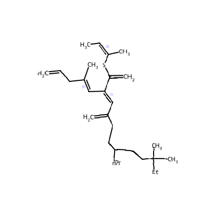 C=CC/C(C)=C/C(=C\C(=C)CCC(CCC)CCC(C)(C)CC)C(=C)S/C(C)=C\C